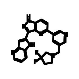 FC1(F)CCN(Cc2cncc(-c3ccc4[nH]nc(-c5cc6ncccc6[nH]5)c4n3)c2)C1